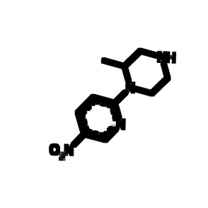 CC1CNCCN1c1ccc([N+](=O)[O-])cn1